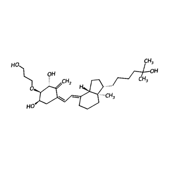 C=C1/C(=C\C=C2/CCC[C@]3(C)[C@@H](CCCCC(C)(C)O)CC[C@@H]23)C[C@@H](O)[C@@H](OCCCO)[C@@H]1O